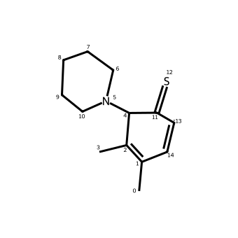 CC1=C(C)C(N2CCCCC2)C(=S)[C]=C1